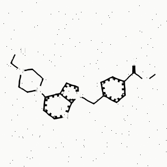 COC(=O)c1ccc(Cn2ccc3c(N4CCN(CO)CC4)ccnc32)cc1